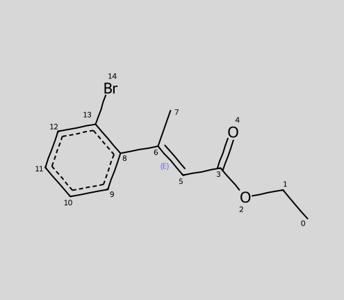 CCOC(=O)/C=C(\C)c1ccccc1Br